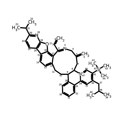 C=C/C1=N/CC(=C)CC2C(CCc3ccc4c(oc5nc(C(C)C)ccc54)c31)c1ccccc1-c1cc(CC(C)C)c([Si](C)(C)C)c[n+]12